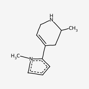 CC1CC(c2cccn2C)=CCN1